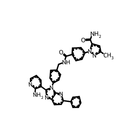 Cc1cc(C(N)=O)n(-c2ccc(C(=O)NCc3ccc(-n4c(-c5cccnc5N)nc5ccc(-c6ccccc6)nc54)cc3)cc2)n1